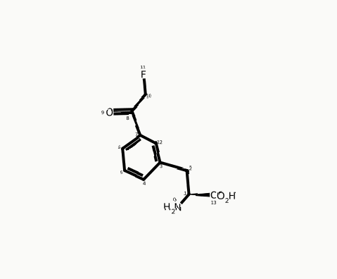 N[C@@H](Cc1cccc(C(=O)CF)c1)C(=O)O